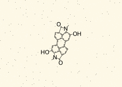 CN1C(=O)c2ccc3c4cc(O)c5c6c(ccc(c7cc(O)c1c2c37)c64)C(=O)N5C